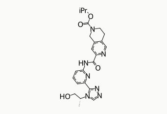 CC(C)OC(=O)N1CCc2cnc(C(=O)Nc3cccc(-c4nncn4[C@H](C)CO)n3)cc2C1